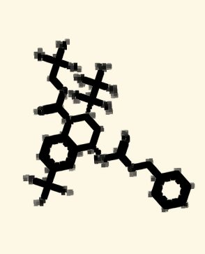 [2H]C([2H])([2H])COC(=O)N1c2ccc(C(F)(F)F)cc2[C@@H](NC(=O)OCc2ccccc2)C[C@H]1C([2H])([2H])C([2H])([2H])[2H]